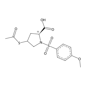 COc1ccc(S(=O)(=O)N2CC(SC(C)=O)C[C@H]2C(=O)O)cc1